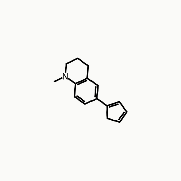 CN1CCCc2cc(C3=CC=CC3)ccc21